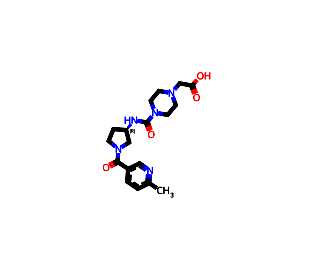 Cc1ccc(C(=O)N2CC[C@@H](NC(=O)N3CCN(CC(=O)O)CC3)C2)cn1